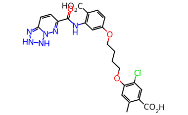 Cc1cc(OCCCCOc2ccc(C(=O)O)c(NC(=O)C3=NN4NNN=C4C=C3)c2)c(Cl)cc1C(=O)O